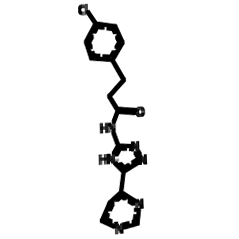 O=C(CCc1ccc(Cl)cc1)Nc1nnc(-c2ccncn2)[nH]1